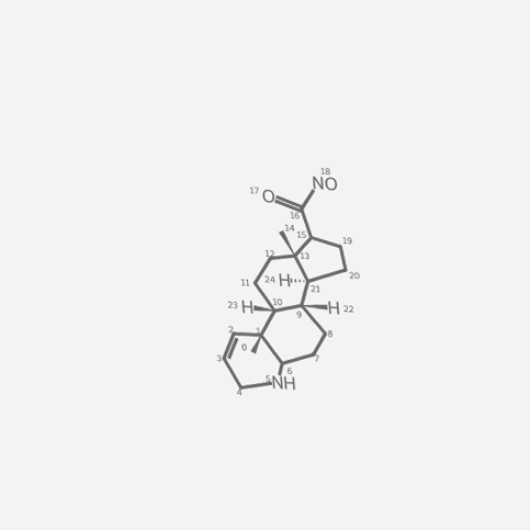 C[C@]12C=CCNC1CC[C@@H]1[C@H]2CC[C@]2(C)C(C(=O)N=O)CC[C@@H]12